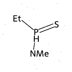 CC[PH](=S)NC